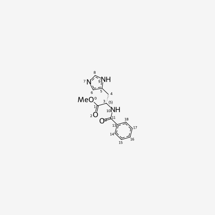 COC(=O)[C@H](Cc1cnc[nH]1)NC(=O)c1ccccc1